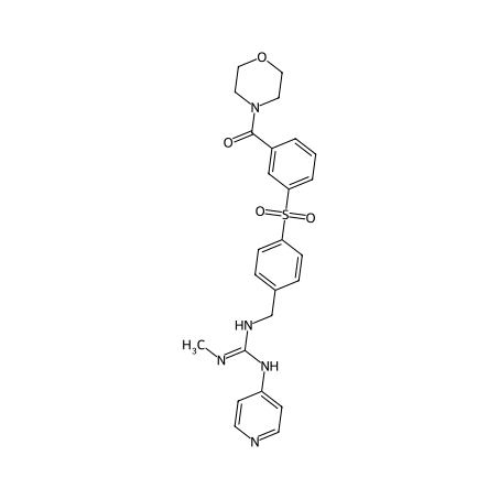 C/N=C(\NCc1ccc(S(=O)(=O)c2cccc(C(=O)N3CCOCC3)c2)cc1)Nc1ccncc1